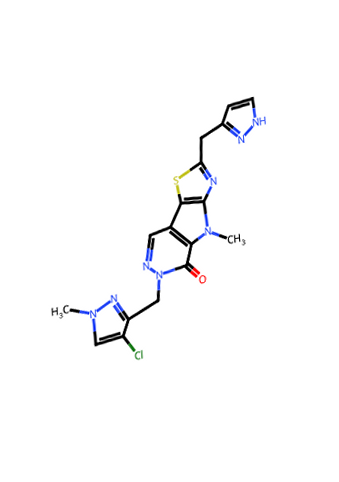 Cn1cc(Cl)c(Cn2ncc3c4sc(Cc5cc[nH]n5)nc4n(C)c3c2=O)n1